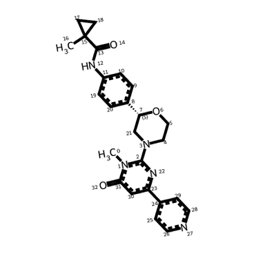 Cn1c(N2CCO[C@@H](c3ccc(NC(=O)C4(C)CC4)cc3)C2)nc(-c2ccncc2)cc1=O